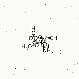 C#CCn1c(=O)n([C@@H]2O[C@H](CC)C[C@H]2OC(C)=O)c2nc(N)ncc21